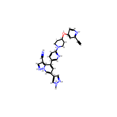 C#Cc1cc(OC2CCN(c3ccc(-c4cc(-c5cnn(C)c5)cn5ncc(C#N)c45)cn3)CC2)ccn1